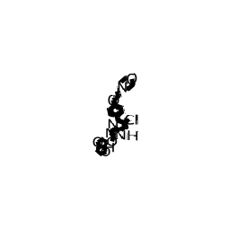 Clc1cc2[nH]c(OC3COC4CCO[C@@H]43)nc2nc1-c1ccc(OCCN2CCOCC2)cc1